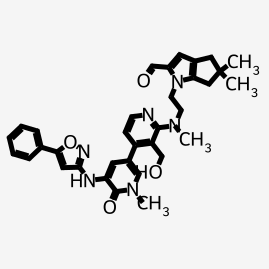 CN(CCn1c(C=O)cc2c1CC(C)(C)C2)c1nccc(-c2cc(Nc3cc(-c4ccccc4)on3)c(=O)n(C)c2)c1CO